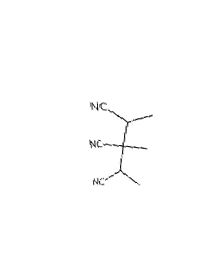 CC(C#N)C(C)(C#N)C(C)C#N